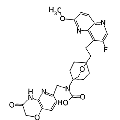 COc1ccc2ncc(F)c(CCC34CCC(N(Cc5ccc6c(n5)NC(=O)CO6)C(=O)O)(CC3)CO4)c2n1